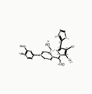 COc1cc(N2CCN(C(C=O)n3nc(-c4ncco4)c(Cl)c3C)[C@@H](CO)C2)ccc1Cl